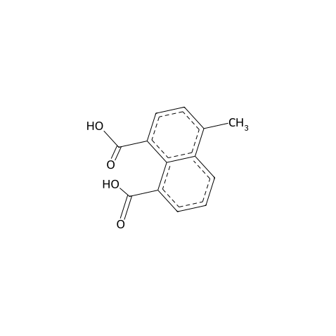 Cc1ccc(C(=O)O)c2c(C(=O)O)cccc12